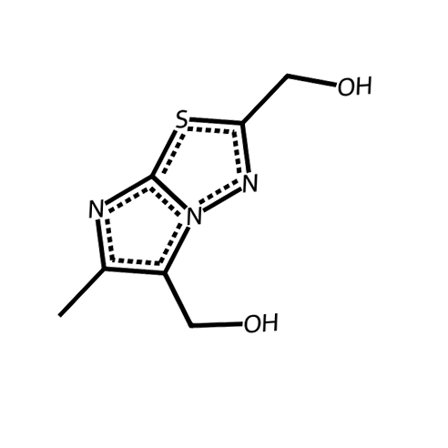 Cc1nc2sc(CO)nn2c1CO